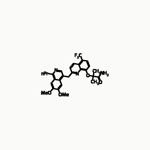 CCCc1ncc(Cc2ccc3c(C(F)(F)F)ccc(OC(C)(C)C(N)=O)c3n2)c2cc(OC)c(OC)cc12